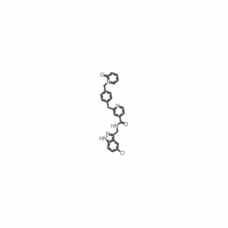 O=C(NCc1n[nH]c2ccc(Cl)cc12)c1ccnc(Cc2ccc(Cn3ccccc3=O)cc2)c1